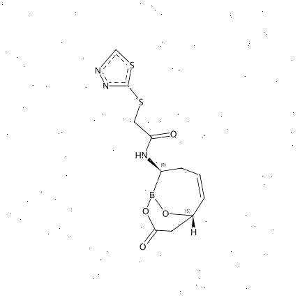 O=C(CSc1nncs1)N[C@H]1CC=C[C@@H]2CC(=O)OB1O2